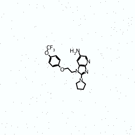 Nc1cnc2nc(N3CCCC3)n(CCOc3ccc(OC(F)(F)F)cc3)c2c1